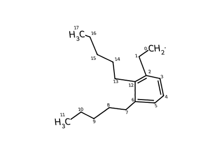 [CH2]Cc1cccc(CCCCC)c1CCCCC